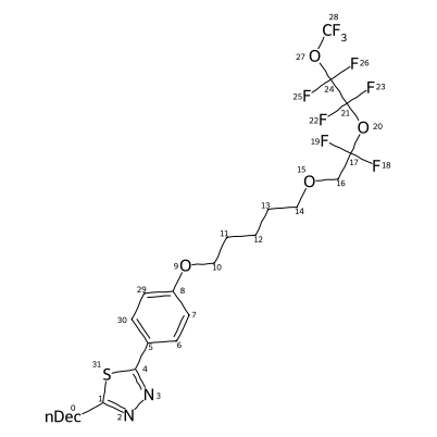 CCCCCCCCCCc1nnc(-c2ccc(OCCCCCOCC(F)(F)OC(F)(F)C(F)(F)OC(F)(F)F)cc2)s1